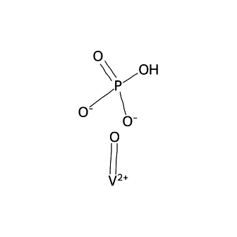 O=P([O-])([O-])O.[O]=[V+2]